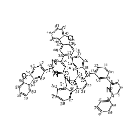 c1ccc(-c2cccc(-c3cccc(-n4c5ccccc5c5c4ccc4c6ccccc6n(-c6cc(-c7ccc8oc9ccccc9c8c7)nc(-c7ccc8oc9ccccc9c8c7)n6)c45)c3)n2)cc1